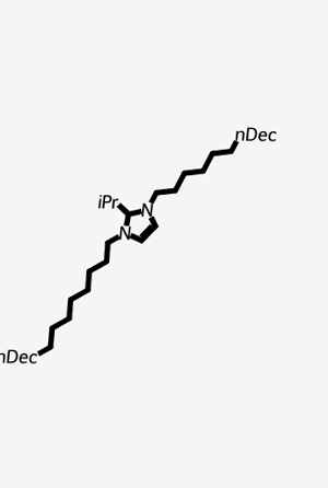 CCCCCCCCCCCCCCCCCCN1C=CN(CCCCCCCCCCCCCCCC)C1C(C)C